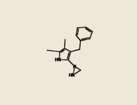 Cc1[nH]c(N2CN2)c(Cc2ccccc2)c1C